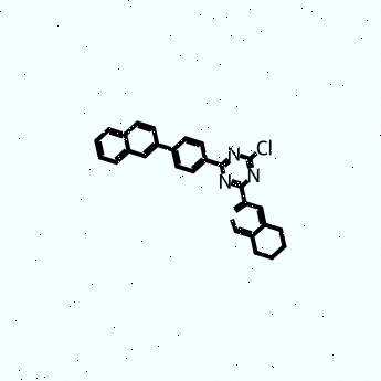 C=C(/C=C1/CCCC/C1=C/C)c1nc(Cl)nc(-c2ccc(-c3ccc4ccccc4c3)cc2)n1